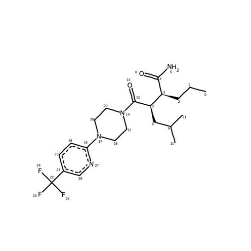 CCC[C@H](C(N)=O)[C@@H](CC(C)C)C(=O)N1CCN(c2ccc(C(F)(F)F)cn2)CC1